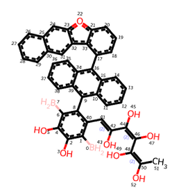 Bc1c(O)c(O)c(B)c(-c2c3ccccc3c(-c3cccc4oc5cc6ccccc6cc5c34)c3ccccc23)c1/C=C(O)/C(O)=C(O)\C(O)=C(/C)O